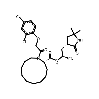 CC1(C)C[C@@H](C[C@@H](C#N)NC(=O)[C@@H]2CCCCCCCCCN2C(=O)COc2ccc(Cl)cc2Cl)C(=O)N1